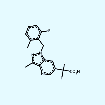 Cc1cccc(F)c1Cn1nc(C)c2ncc(C(F)(F)C(=O)O)cc21